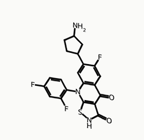 NC1CCC(c2cc3c(cc2F)c(=O)c2c(=O)[nH]sc2n3-c2ccc(F)cc2F)C1